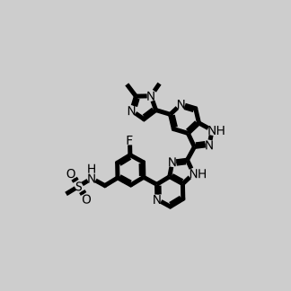 Cc1ncc(-c2cc3c(-c4nc5c(-c6cc(F)cc(CNS(C)(=O)=O)c6)nccc5[nH]4)n[nH]c3cn2)n1C